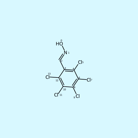 ON=Cc1c(Cl)c(Cl)c(Cl)c(Cl)c1Cl